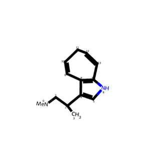 CNCC(C)c1c[nH]c2c1C=CCC=C2